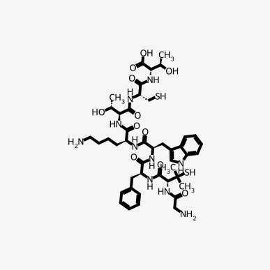 C[C@@H](O)[C@H](NC(=O)[C@H](CS)NC(=O)[C@@H](NC(=O)[C@H](CCCCN)NC(=O)[C@@H](Cc1c[nH]c2ccccc12)NC(=O)[C@H](Cc1ccccc1)NC(=O)[C@@H](NC(=O)CN)C(C)(C)S)[C@@H](C)O)C(=O)O